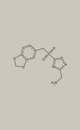 NCc1nsc(S(=O)(=O)Cc2ccc3c(c2)OCO3)n1